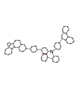 c1ccc(-c2ccccc2N(c2ccc(-c3ccc(-c4ccc5c(ccc6oc7ccccc7c65)c4)cc3)cc2)c2ccc(-c3cc4ccccc4c4ccccc34)cc2)cc1